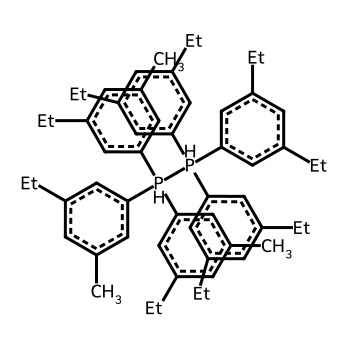 CCc1cc(C)cc([PH](c2cc(C)cc(CC)c2)(c2cc(C)cc(CC)c2)[PH](c2cc(CC)cc(CC)c2)(c2cc(CC)cc(CC)c2)c2cc(CC)cc(CC)c2)c1